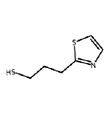 SCCCc1nccs1